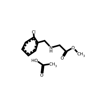 CC(=O)O.COC(=O)CNCc1ccccc1Cl